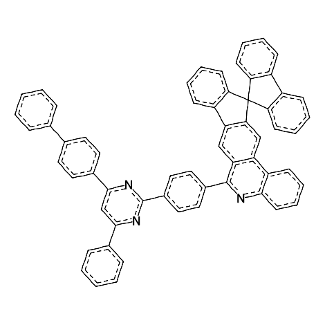 c1ccc(-c2ccc(-c3cc(-c4ccccc4)nc(-c4ccc(-c5nc6ccccc6c6cc7c(cc56)-c5ccccc5C75c6ccccc6-c6ccccc65)cc4)n3)cc2)cc1